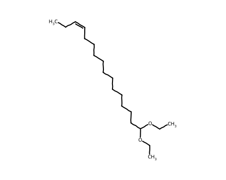 CC/C=C\CCCCCCCCCCCC(OCC)OCC